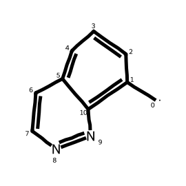 [CH2]c1cccc2ccnnc12